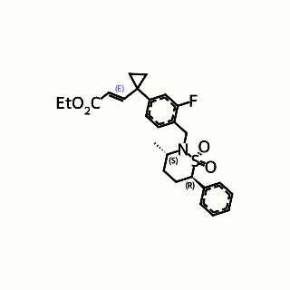 CCOC(=O)/C=C/C1(c2ccc(CN3[C@@H](C)CC[C@H](c4ccccc4)S3(=O)=O)c(F)c2)CC1